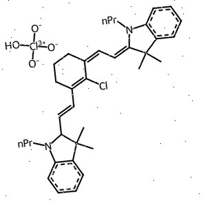 CCCN1C(=CC=C2CCCC(C=CC3N(CCC)c4ccccc4C3(C)C)=C2Cl)C(C)(C)c2ccccc21.[O-][Cl+3]([O-])([O-])O